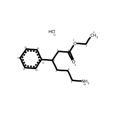 CCOC(=O)CC(CCCN)c1ccccc1.Cl